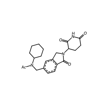 [CH2]C(=O)N(Cc1ccc2c(c1)CN(C1CCC(=O)NC1=O)C2=O)C1CCCCC1